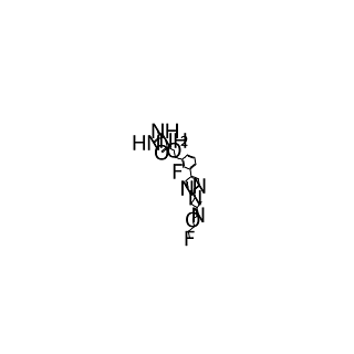 N=C(N)NC(=O)OCc1cccc(-c2cnc(N3CC(=NOCCF)C3)nc2)c1F